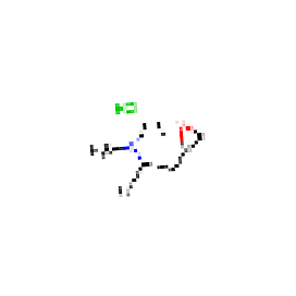 CCC(CC1CO1)N(C)C.Cl